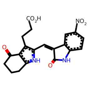 O=C(O)CCc1c(/C=C2\C(=O)Nc3ccc([N+](=O)[O-])cc32)[nH]c2c1C(=O)CCC2